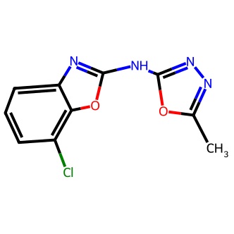 Cc1nnc(Nc2nc3cccc(Cl)c3o2)o1